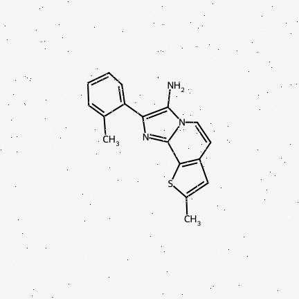 Cc1cc2ccn3c(N)c(-c4ccccc4C)nc3c2s1